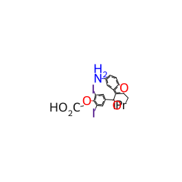 CC(C)Cc1oc2ccc(N)cc2c1C(=O)c1cc(I)c(OCC(=O)O)c(I)c1